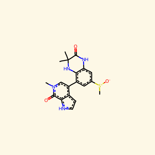 Cn1cc(-c2cc([S+](C)[O-])cc3c2NC(C)(C)C(=O)N3)c2cc[nH]c2c1=O